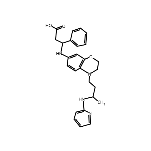 CC(CCN1CCOc2cc(NC(CC(=O)O)c3ccccc3)ccc21)Nc1ccccn1